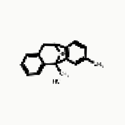 Cc1ccc2c(c1)C1(C)NC2Cc2ccccc21.Cl